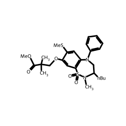 CCCCC1CN(c2ccccc2)c2cc(SC)c(OCC(C)(C)C(=O)OC)cc2S(=O)(=O)N1C